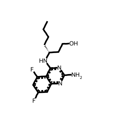 CCCC[C@H](CCO)Nc1nc(N)nc2cc(F)cc(F)c12